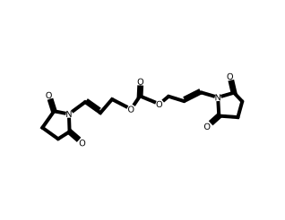 O=C(OCC=CN1C(=O)CCC1=O)OCC=CN1C(=O)CCC1=O